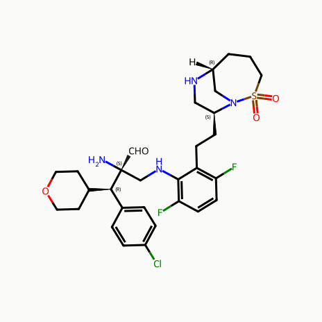 N[C@](C=O)(CNc1c(F)ccc(F)c1CC[C@H]1CN[C@@H]2CCCS(=O)(=O)N1C2)[C@@H](c1ccc(Cl)cc1)C1CCOCC1